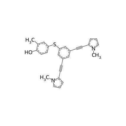 Cc1cc(Sc2cc(C#Cc3cccn3C)cc(C#Cc3cccn3C)c2)ccc1O